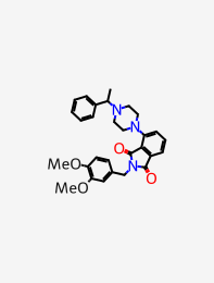 COc1ccc(CN2C(=O)c3cccc(N4CCN(C(C)c5ccccc5)CC4)c3C2=O)cc1OC